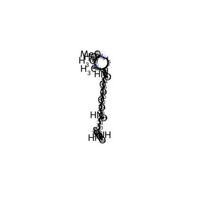 CO[C@H]1/C=C/CCCCC(=NNC(=O)CCOCCOCCOCCOCCNC(=O)CCCCC2SCC3NC(=O)NC32)CC/C(C)=C\C(C)[C@@H]1O